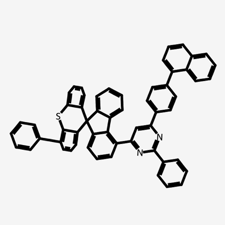 c1ccc(-c2nc(-c3ccc(-c4cccc5ccccc45)cc3)cc(-c3cccc4c3-c3ccccc3C43c4ccccc4Sc4c(-c5ccccc5)cccc43)n2)cc1